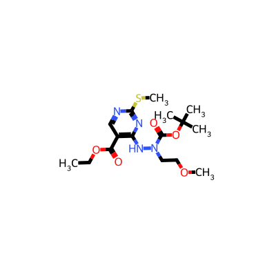 CCOC(=O)c1cnc(SC)nc1NN(CCOC)C(=O)OC(C)(C)C